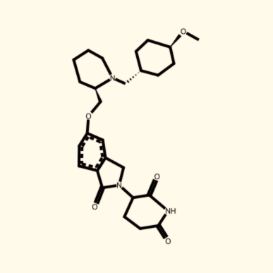 CO[C@H]1CC[C@H](CN2CCCC[C@@H]2COc2ccc3c(c2)CN(C2CCC(=O)NC2=O)C3=O)CC1